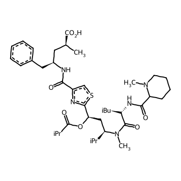 CC[C@H](C)[C@H](NC(=O)C1CCCCN1C)C(=O)N(C)[C@H](C[C@@H](OC(=O)C(C)C)c1nc(C(=O)N[C@@H](Cc2ccccc2)C[C@H](C)C(=O)O)cs1)C(C)C